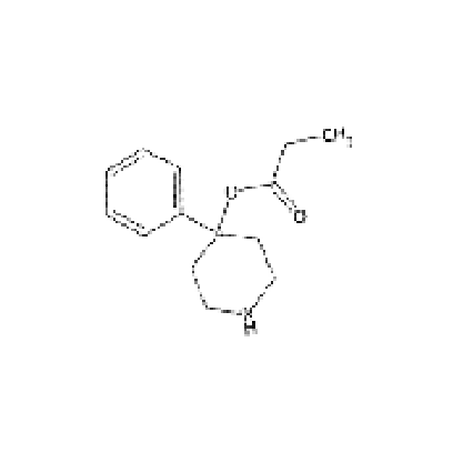 CCC(=O)OC1(c2ccccc2)CCNCC1